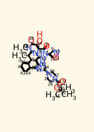 C[C@@H](c1nc(C(=O)Nc2cnoc2)c(O)c(=O)n1C)[C@H](c1cnn(CCN2CCN(C(=O)OC(C)(C)C)CC2)c1)c1ccccc1C#N